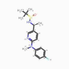 C[C@H](N[S+]([O-])C(C)(C)C)c1ccc(N(C)c2ccc(F)cc2)nc1